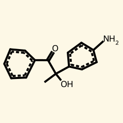 CC(O)(C(=O)c1ccccc1)c1ccc(N)cc1